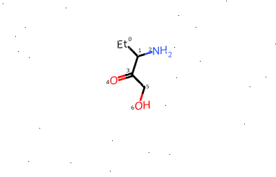 CCC(N)C(=O)CO